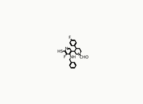 O=CN1CCC(c2ccc(F)cc2)C(c2cnc(S)c(F)c2NCc2ccccc2)C1